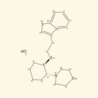 Cl.c1ccc2c(CCO[C@@H]3CCCC[C@H]3N3CCOCC3)csc2c1